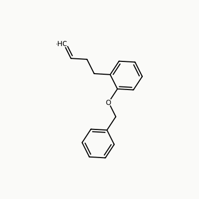 [CH]=CCCc1ccccc1OCc1ccccc1